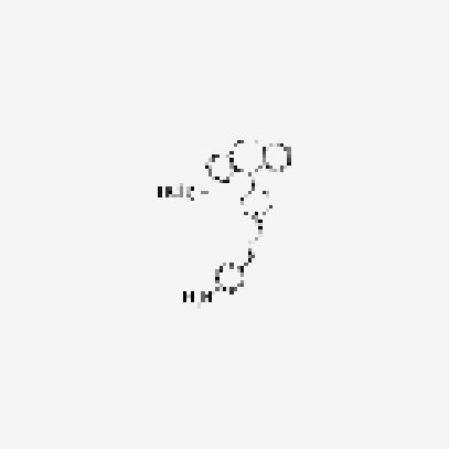 Cl.Cl.Nc1ccc(C=CCN2CCC(=C3c4ccccc4CCc4ccccc43)CC2)cc1